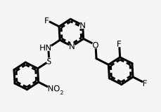 O=[N+]([O-])c1ccccc1SNc1nc(OCc2ccc(F)cc2F)ncc1F